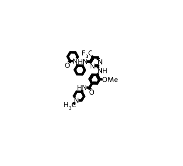 COc1cc(C(=O)NC2CCN(C)CC2)ccc1Nc1ncc(C(F)(F)F)c(N[C@@H]2CCCC[C@H]2N2CCCCC2=O)n1